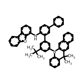 CC(C)(C)c1cc(-c2cc(-c3ccccc3)ccc2Nc2cccc3c2oc2ccccc23)cc(N2c3ccccc3C(C)(C)c3cc4ccccc4cc32)c1